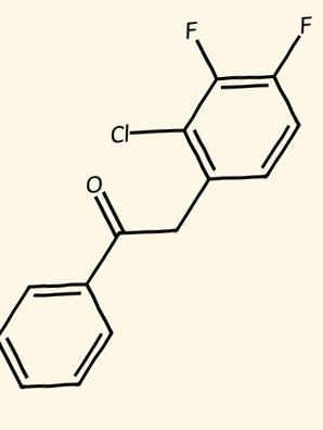 O=C(Cc1ccc(F)c(F)c1Cl)c1ccccc1